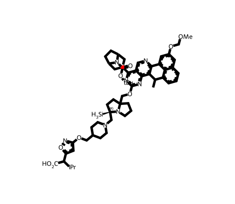 COCOc1cc2c3c(cccc3c1)C(C)c1c-2ncc2c(N3CC4CCC(C3)N4C(=O)OC(C)(C)C)nc(OCC34CCCN3[C@]([SiH3])(CN3CCC(COc5cc(C(C(=O)O)C(C)C)on5)CC3)CC4)nc12